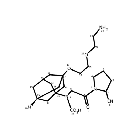 N#CC1CCCN1C(=O)CN(C(=O)O)C12CC3C[C@H](CC(OCCOCCN)(C3)C1)C2